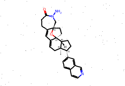 C[C@]12CC=C3C=C4CCC(=O)N(N)C[C@]45CC[C@]3(O5)[C@@H]1CC[C@@H]2c1ccc2ccncc2c1